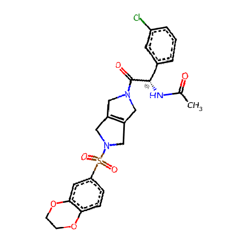 CC(=O)N[C@H](C(=O)N1CC2=C(C1)CN(S(=O)(=O)c1ccc3c(c1)OCCO3)C2)c1cccc(Cl)c1